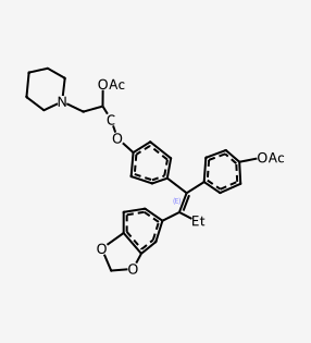 CC/C(=C(/c1ccc(OCC(CN2CCCCC2)OC(C)=O)cc1)c1ccc(OC(C)=O)cc1)c1ccc2c(c1)OCO2